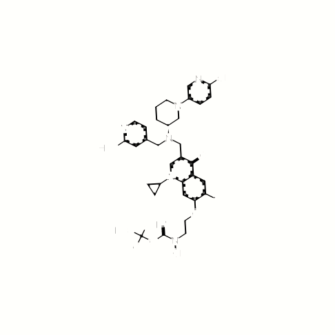 Cc1ccc(N2CCC[C@H](N(Cc3ccnc(C)c3)Cc3cn(C4CC4)c4cc(OCCN(C)C(=O)OC(C)(C)C)c(F)cc4c3=O)C2)cn1